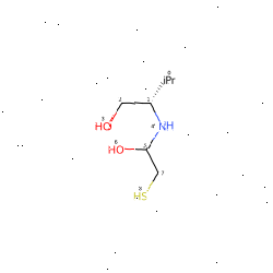 CC(C)[C@@H](CO)NC(O)CS